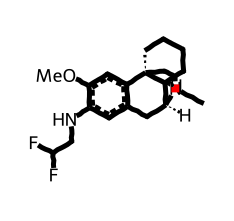 COc1cc2c(cc1NCC(F)F)C[C@H]1[C@H]3CCCC[C@@]23CCN1C